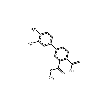 COC(=O)c1cc(-c2ccc(C)c(C)c2)ccc1C(=O)O